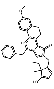 CCC1(C)C(O)=CC=C1Cc1nc2c(Cc3ccccc3)[nH]c3c(n-2c1=O)CCc1cc(OC)ccc1-3